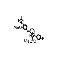 COC(=O)c1nc2n(c1-c1ccc(F)cc1)CCC/C2=C\c1ccc(-n2cnc(C)c2)c(OC)c1